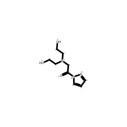 O=C(CN(CCO)CCO)n1cccn1